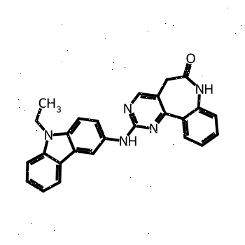 CCn1c2ccccc2c2cc(Nc3ncc4c(n3)-c3ccccc3NC(=O)C4)ccc21